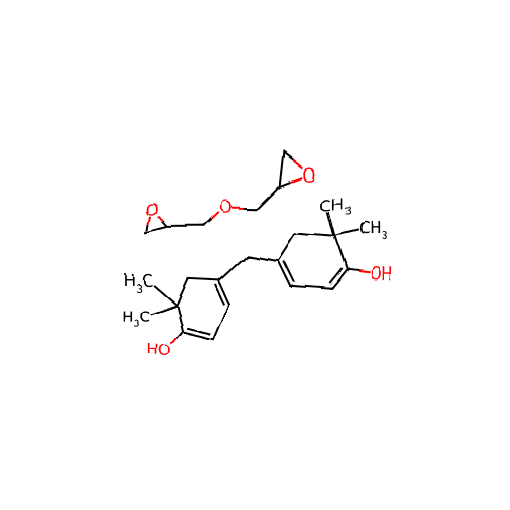 C(OCC1CO1)C1CO1.CC1(C)CC(CC2=CC=C(O)C(C)(C)C2)=CC=C1O